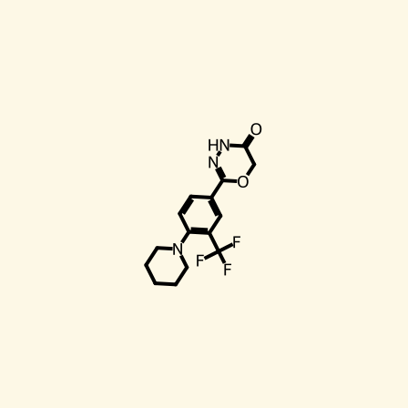 O=C1COC(c2ccc(N3CCCCC3)c(C(F)(F)F)c2)=NN1